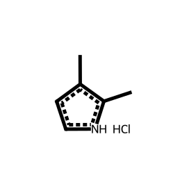 Cc1cc[nH]c1C.Cl